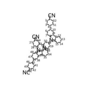 N#Cc1ccc(-c2ccc3c(c2)c2ccccc2n3-c2ccnc(-c3cc(C#N)ccc3-n3c4ccccc4c4cc(-c5ccc(C#N)cc5)ccc43)c2)cc1